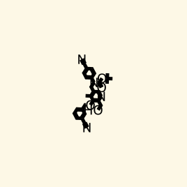 Cc1c(CN(C(=O)OC(C)(C)C)c2ccc(C#N)cc2)cnc(CO)c1OCc1cccc(C#N)c1